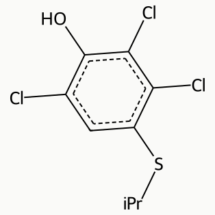 CC(C)Sc1cc(Cl)c(O)c(Cl)c1Cl